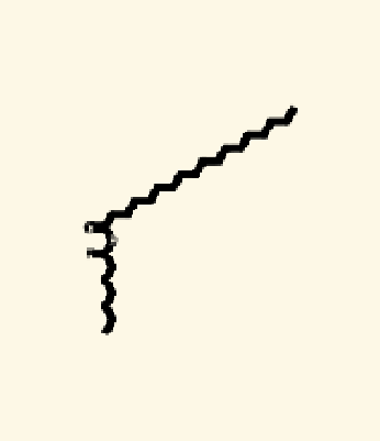 CCCCCCCCCCCCCCCCCC(=O)OC(F)CCCCCC